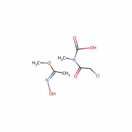 CN(C(=O)O)C(=O)CCl.COC(C)=NO